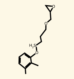 Cc1cccc(O[SiH2]CCCOCC2CO2)c1C